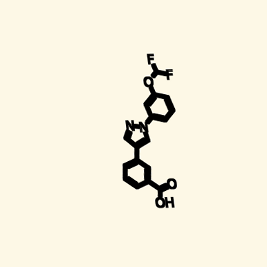 O=C(O)c1cccc(-c2cnn(-c3cccc(OC(F)F)c3)c2)c1